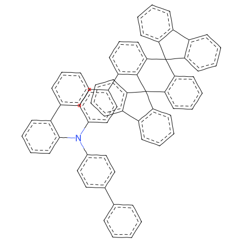 c1ccc(-c2ccc(N(c3ccc(-c4cccc5c4C4(c6ccccc6-c6ccccc64)c4ccccc4C54c5ccccc5-c5ccccc54)cc3)c3ccccc3-c3ccccc3)cc2)cc1